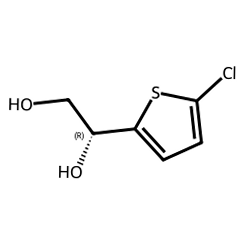 OC[C@@H](O)c1ccc(Cl)s1